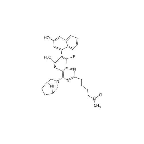 Cc1cc2c(N3CC4CCC(C3)N4)nc(CCCCN(C)Cl)nc2c(F)c1-c1cc(O)cc2ccccc12